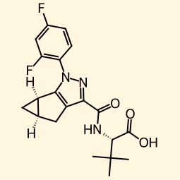 CC(C)(C)[C@H](NC(=O)c1nn(-c2ccc(F)cc2F)c2c1C[C@H]1C[C@@H]21)C(=O)O